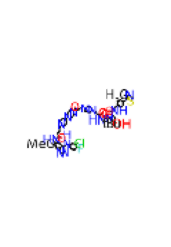 COc1cc2ncnc(Nc3ccc(F)c(Cl)c3)c2cc1NC(=O)/C=C/CN1CCC(N2CCN(C(=O)CCN3CCN(CCC(=O)N[C@H](C(=O)N4C[C@H](O)C[C@H]4C(=O)NCc4ccc(-c5scnc5C)cc4)C(C)(C)C)CC3)CC2)CC1